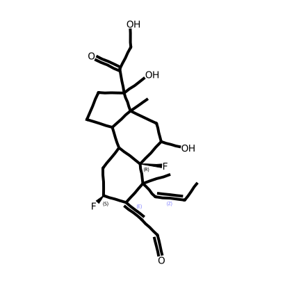 C/C=C\C1(C)/C(=C\C=O)[C@@H](F)CC2C3CCC(O)(C(=O)CO)C3(C)CC(O)[C@@]21F